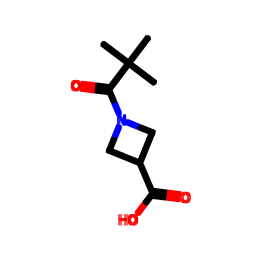 CC(C)(C)C(=O)N1CC(C(=O)O)C1